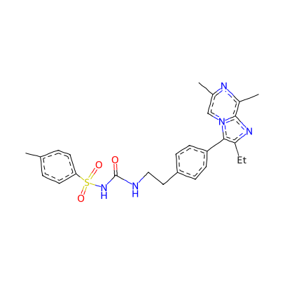 CCc1nc2c(C)nc(C)cn2c1-c1ccc(CCNC(=O)NS(=O)(=O)c2ccc(C)cc2)cc1